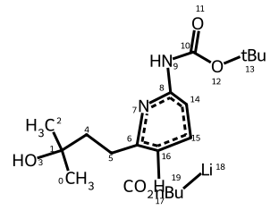 CC(C)(O)CCc1nc(NC(=O)OC(C)(C)C)ccc1C(=O)O.[Li][CH2]CCC